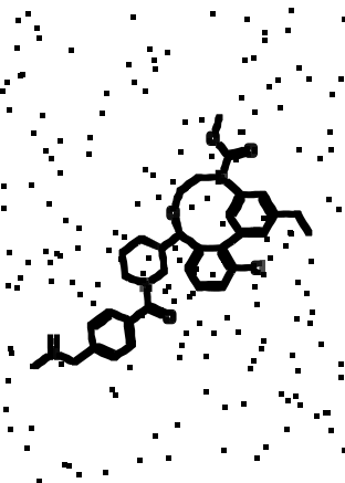 CCc1cc2cc(c1)N(C(=O)OC)CCO[C@H]([C@@H]1CCCN(C(=O)c3ccc(CNC)cc3)C1)c1cccc(Cl)c1-2